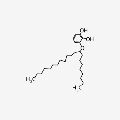 CCCCCCCCCCCCC(CCCCCCCC)Oc1cccc(O)c1O